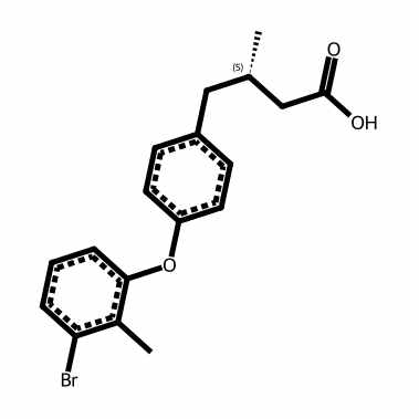 Cc1c(Br)cccc1Oc1ccc(C[C@H](C)CC(=O)O)cc1